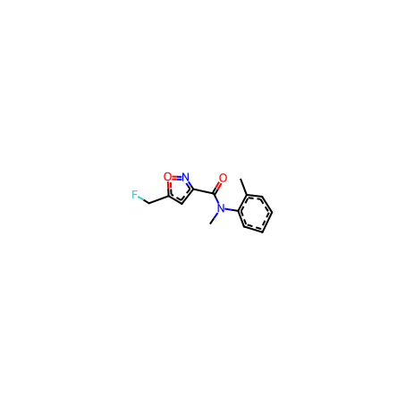 Cc1ccccc1N(C)C(=O)c1cc(CF)on1